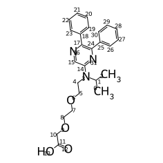 CC(C)N(CCOCCOCC(=O)O)c1cnc(-c2ccccc2)c(-c2ccccc2)n1